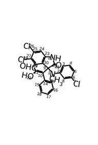 CN(c1cccc(Cl)c1)C1(/C(=C(/O)C=O)c2ccccc2)C(=O)Nc2cc(Cl)c(Cl)cc21